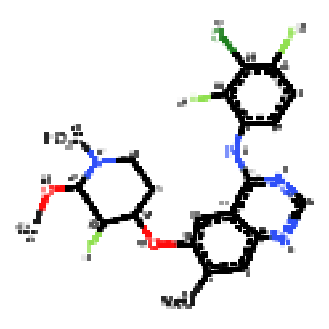 COc1cc2ncnc(Nc3ccc(F)c(Cl)c3F)c2cc1OC1CCN(C(=O)O)C(OC(C)(C)C)C1F